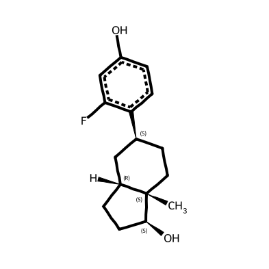 C[C@]12CC[C@H](c3ccc(O)cc3F)C[C@H]1CC[C@@H]2O